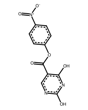 O=C(Oc1ccc([N+](=O)[O-])cc1)c1cnc(O)nc1O